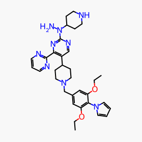 CCOc1cc(CN2CCC(c3cnc(N(N)C4CCNCC4)nc3-c3ncccn3)CC2)cc(OCC)c1-n1cccc1